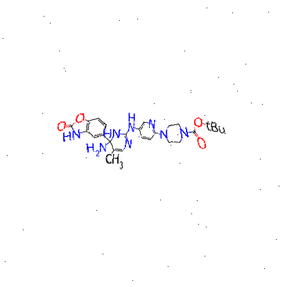 CC1=CN=C(Nc2ccc(N3CCN(C(=O)OC(C)(C)C)CC3)nc2)NC1(N)c1ccc2oc(=O)[nH]c2c1